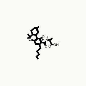 CCCCCc1cc2c(c(O)c1C(=O)NC(C)C(=O)O)C1C=C(C)CCC1C(C)(C)O2